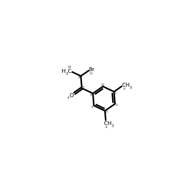 Cc1cc(C)cc(C(=O)C(C)Br)c1